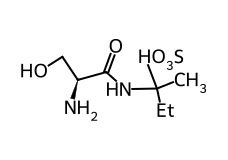 CCC(C)(NC(=O)[C@@H](N)CO)S(=O)(=O)O